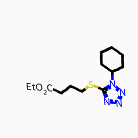 CCOC(=O)CCCSc1nnnn1C1CCCCC1